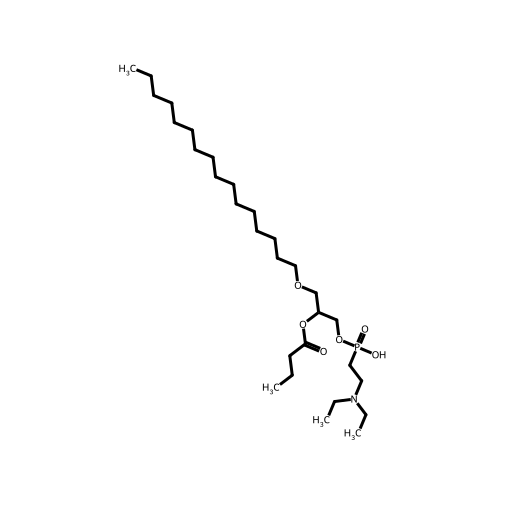 CCCCCCCCCCCCCCCCOCC(COP(=O)(O)CCN(CC)CC)OC(=O)CCC